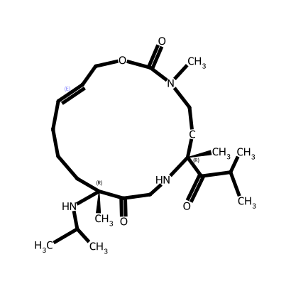 CC(C)N[C@]1(C)CCC/C=C/COC(=O)N(C)CC[C@](C)(C(=O)C(C)C)NCC1=O